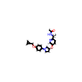 CC(=O)N[C@@H](C)c1ccc(O[C@@H]2CCN(c3ccc(OCC4CC4)cc3)C2)cn1